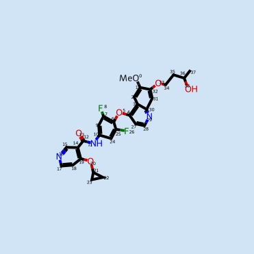 COc1cc2c(Oc3c(F)cc(NC(=O)c4cnccc4OC4CC4)cc3F)ccnc2cc1OCCC(C)O